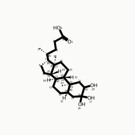 C[C@H](CCC(=O)O)[C@H]1CC[C@H]2[C@@H]3CC[C@@H]4CC(O)(O)C(O)C[C@]4(C)[C@H]3CC[C@]12C